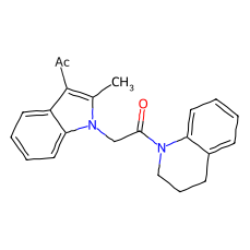 CC(=O)c1c(C)n(CC(=O)N2CCCc3ccccc32)c2ccccc12